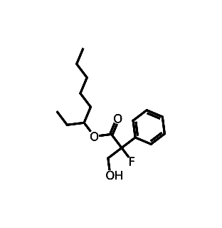 CCCCCC(CC)OC(=O)C(F)(CO)c1ccccc1